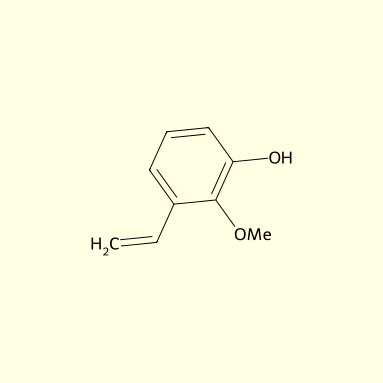 C=Cc1cccc(O)c1OC